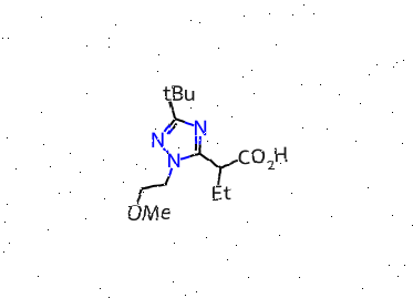 CCC(C(=O)O)c1nc(C(C)(C)C)nn1CCOC